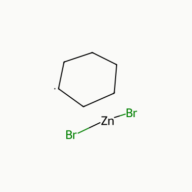 [Br][Zn][Br].[CH]1CCCCC1